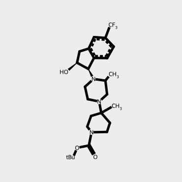 CC1CN(C2(C)CCN(C(=O)OC(C)(C)C)CC2)CCN1[C@@H]1c2ccc(C(F)(F)F)cc2C[C@@H]1O